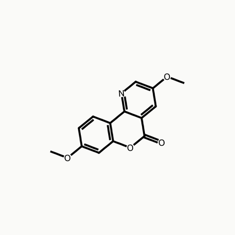 COc1ccc2c(c1)oc(=O)c1cc(OC)cnc12